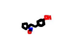 O=NC1(CCc2ccc(O)cc2)CCCC1